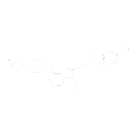 COc1cc(S(N)(=O)=O)ccc1NCC#Cc1cc2c(N[C@H]3CC[C@@H](N4CC[C@@H](O)C4)CC3)cccc2n1CC(F)(F)F